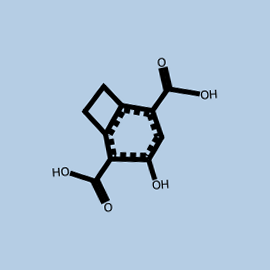 O=C(O)c1cc(O)c(C(=O)O)c2c1CC2